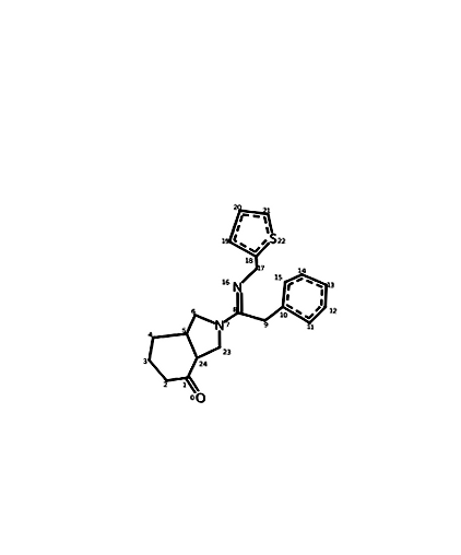 O=C1CCCC2CN(C(Cc3ccccc3)=NCc3cccs3)CC12